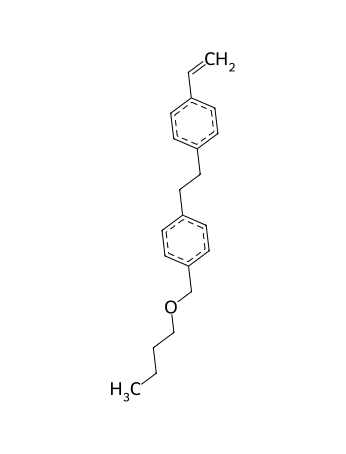 C=Cc1ccc(CCc2ccc(COCCCC)cc2)cc1